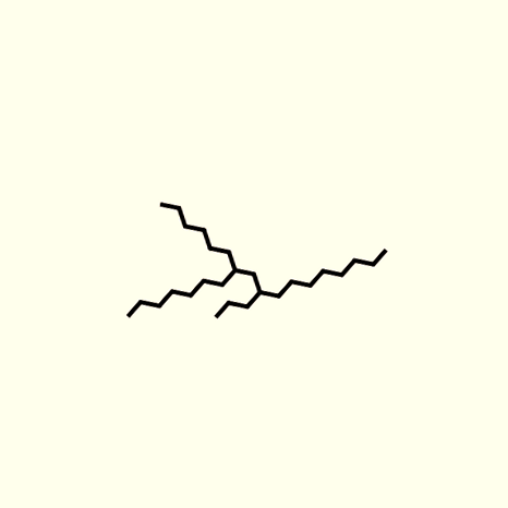 CCCCCCCCC(CCC)CC(CCCCCC)CCCCCCC